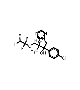 CC(C)(COC(F)(F)C(F)F)C(O)(Cn1cncn1)c1ccc(Cl)cc1